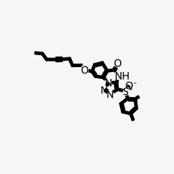 CCCC#CCCCOc1ccc2c(=O)[nH]c3c([S+]([O-])c4ccc(C)cc4C)nnn3c2c1